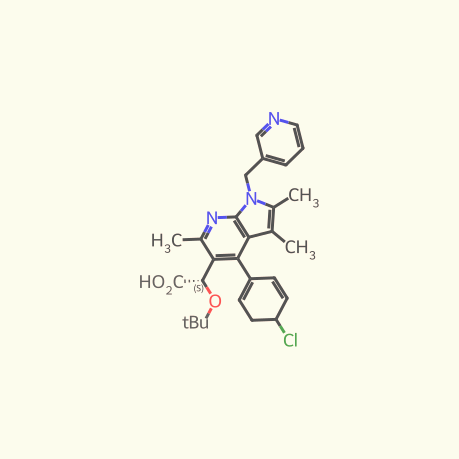 Cc1nc2c(c(C)c(C)n2Cc2cccnc2)c(C2=CCC(Cl)C=C2)c1[C@H](OC(C)(C)C)C(=O)O